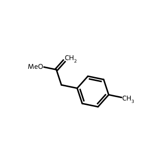 C=C(Cc1ccc(C)cc1)OC